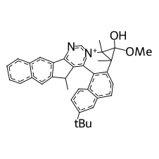 COC1(O)C2(C)c3ccc4cc(C(C)(C)C)ccc4c3-c3c4c(nc[n+]3C12C)-c1cc2ccccc2cc1C4C